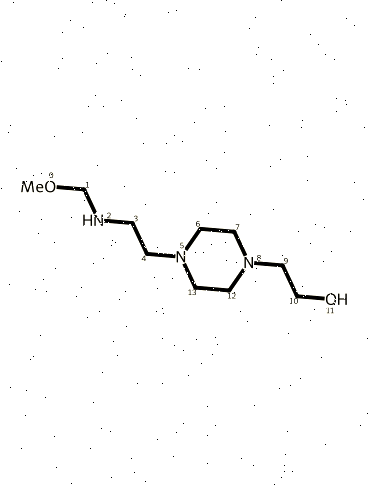 COCNCCN1CCN(CCO)CC1